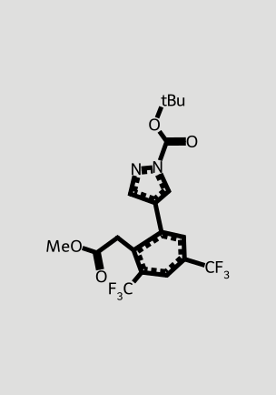 COC(=O)Cc1c(-c2cnn(C(=O)OC(C)(C)C)c2)cc(C(F)(F)F)cc1C(F)(F)F